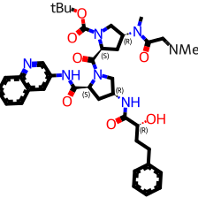 CNCC(=O)N(C)[C@@H]1C[C@@H](C(=O)N2C[C@H](NC(=O)[C@H](O)CCc3ccccc3)C[C@H]2C(=O)Nc2cnc3ccccc3c2)N(C(=O)OC(C)(C)C)C1